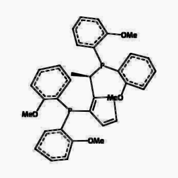 COc1ccccc1P(C1=C([C@@H](C)P(c2ccccc2OC)c2ccccc2OC)CC=C1)c1ccccc1OC